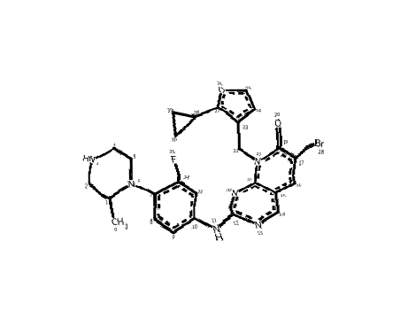 CC1CNCCN1c1ccc(Nc2ncc3cc(Br)c(=O)n(Cc4ccoc4C4CC4)c3n2)cc1F